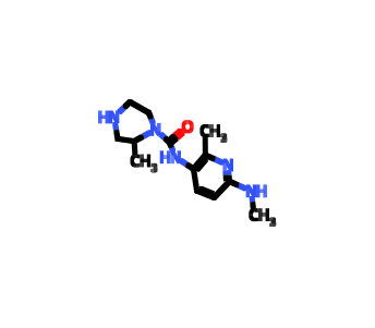 CNc1ccc(NC(=O)N2CCNCC2C)c(C)n1